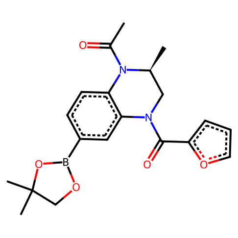 CC(=O)N1c2ccc(B3OCC(C)(C)O3)cc2N(C(=O)c2ccco2)C[C@@H]1C